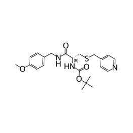 COc1ccc(CNC(=O)[C@H](CSCc2ccncc2)NC(=O)OC(C)(C)C)cc1